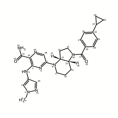 Cn1cc(Nc2nc(N3CCC[C@@H]4[C@H]3CCN4C(=O)c3ccc(C4CC4)cc3)cnc2C(N)=O)cn1